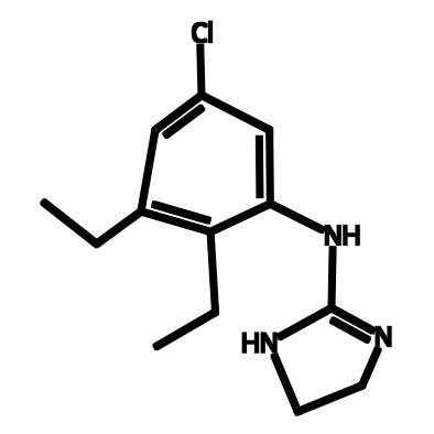 CCc1cc(Cl)cc(NC2=NCCN2)c1CC